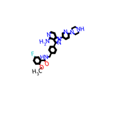 COc1ccc(F)cc1C(=O)NCc1ccc(-c2nn(-c3ccc(N4CCNCC4)nc3)c3ccnc(N)c23)cc1